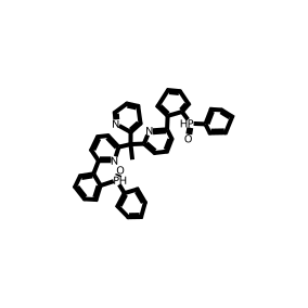 CC(c1ccccn1)(c1cccc(-c2ccccc2[PH](=O)c2ccccc2)n1)c1cccc(-c2ccccc2[PH](=O)c2ccccc2)n1